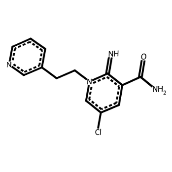 N=c1c(C(N)=O)cc(Cl)cn1CCc1cccnc1